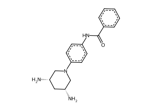 N[C@@H]1C[C@H](N)CN(c2ccc(NC(=O)c3ccccc3)cc2)C1